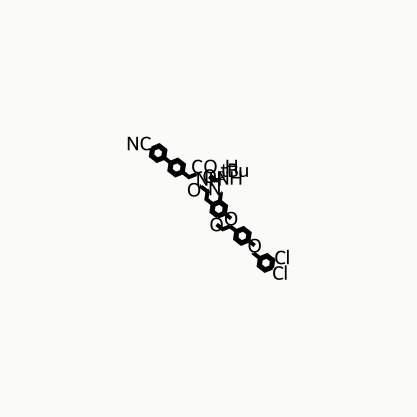 CC(C)(C)NC(=O)N1Cc2cc3c(cc2CC1C(=O)NC(Cc1ccc(-c2ccc(C#N)cc2)cc1)C(=O)O)OCC(c1ccc(OCc2ccc(Cl)c(Cl)c2)cc1)O3